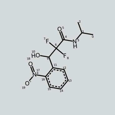 CC(C)NC(=O)C(F)(F)C(O)c1ccccc1[N+](=O)[O-]